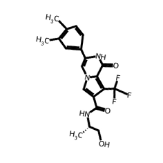 Cc1ccc(-c2cn3cc(C(=O)N[C@@H](C)CO)c(C(F)(F)F)c3c(=O)[nH]2)cc1C